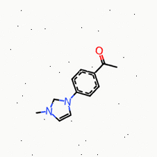 CC(=O)c1ccc(N2C=CN(C)C2)cc1